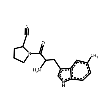 Cc1ccc2[nH]cc(CC(N)C(=O)N3CCCC3C#N)c2c1